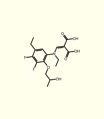 CCc1cc(N(C=C(C(=O)O)C(=O)O)CC)c(OCC(C)O)c(F)c1F